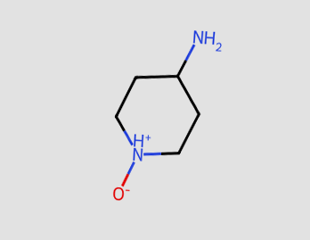 NC1CC[NH+]([O-])CC1